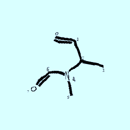 C=CC(C)N(C)C=O